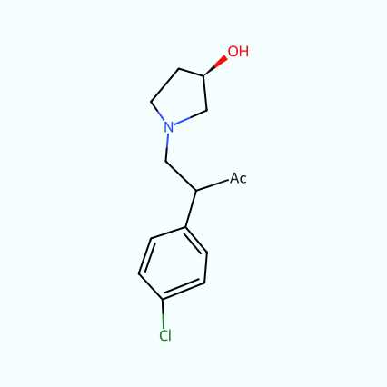 CC(=O)C(CN1CC[C@@H](O)C1)c1ccc(Cl)cc1